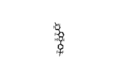 Cc1ncc(-c2ccc3nc(-c4ccc(C(F)(F)F)cc4)[nH]c3c2F)cn1